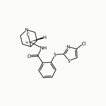 O=C(N[C@H]1CN2CCC1CC2)c1ccccc1Sc1nc(Cl)cs1